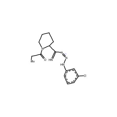 CCC(C)CC(=O)N1CCCCC1C(=N)/N=N\Nc1cccc(Cl)c1